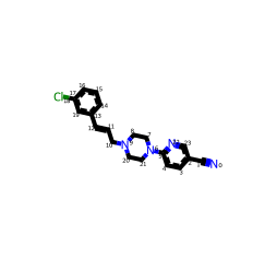 N#Cc1ccc(N2CCN(CC=Cc3cccc(Cl)c3)CC2)nc1